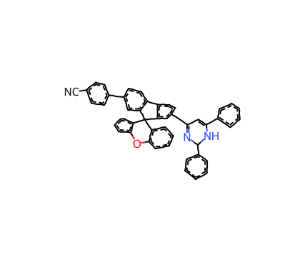 N#Cc1ccc(-c2ccc3c(c2)C2(c4ccccc4Oc4ccccc42)c2cc(C4=NC(c5ccccc5)NC(c5ccccc5)=C4)ccc2-3)cc1